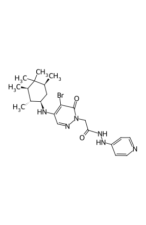 C[C@@H]1[C@@H](C)C(C)(C)[C@@H](C)C[C@H]1Nc1cnn(CC(=O)NNc2ccncc2)c(=O)c1Br